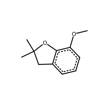 COc1cccc2c1OC(C)(C)C2